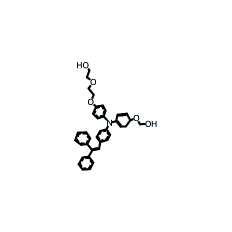 OCCOCCOc1ccc(N(C2=CCC(OCO)C=C2)c2ccc(C=C(c3ccccc3)c3ccccc3)cc2)cc1